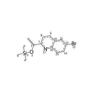 C=C(O[Si](C)(C)C)c1ccc2cc(Br)ccc2n1